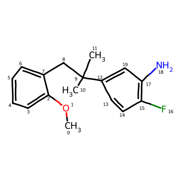 COc1ccccc1CC(C)(C)c1ccc(F)c(N)c1